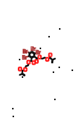 C=C(C)C(=O)OCCOC(=O)c1c(Br)c(Br)c(Br)c(Br)c1C(=O)OCCOC(=O)C(=C)C